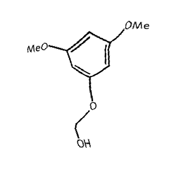 COc1cc(OC)cc(OCO)c1